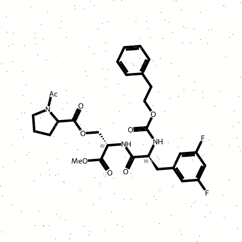 COC(=O)[C@H](COC(=O)C1CCCN1C(C)=O)NC(=O)[C@H](Cc1cc(F)cc(F)c1)NC(=O)OCCc1ccccc1